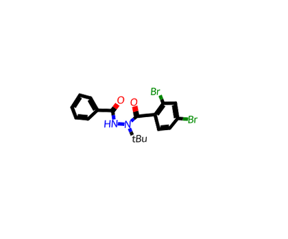 CC(C)(C)N(NC(=O)c1ccccc1)C(=O)c1ccc(Br)cc1Br